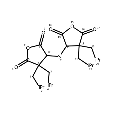 CC(C)CC1(CC(C)C)C(=O)OC(=O)C1SC1C(=O)OC(=O)C1(CC(C)C)CC(C)C